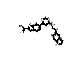 O=C(O)c1cc2ccc(-c3cc(NCCc4ccc5sccc5c4)ncn3)cc2o1